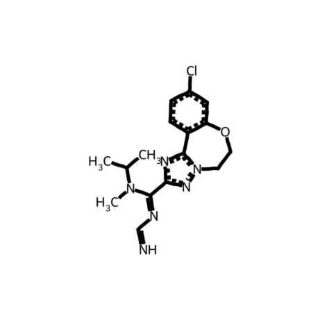 CC(C)N(C)/C(=N\C=N)c1nc2n(n1)CCOc1cc(Cl)ccc1-2